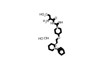 Cl.Cl.N=C(NC(=O)C(N)CC(=O)O)N1CCC(OCC[C@@H]2CCCCN2[C@H]2CC3CCC2C3)CC1